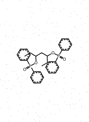 CCC(CC(CC)OP(=O)(c1ccccc1)c1ccccc1)OP(=O)(c1ccccc1)c1ccccc1